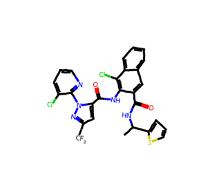 CC(NC(=O)c1cc2ccccc2c(Cl)c1NC(=O)c1cc(C(F)(F)F)nn1-c1ncccc1Cl)c1cccs1